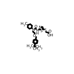 CC1CCC(N(CCOCc2ccc(C(C)(C)C)cc2)C(=O)Nc2ncc(SCC(=O)O)s2)CC1